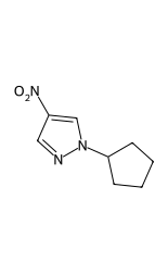 O=[N+]([O-])c1cnn(C2CCCC2)c1